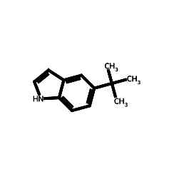 CC(C)(C)c1ccc2[nH]c[c]c2c1